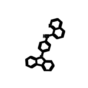 c1cnc2c(Nc3ccc(-n4c5ccccc5c5ccccc54)cc3)cccc2c1